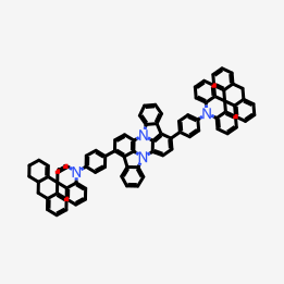 C1=C2C(CCC1)Cc1ccccc1C21c2ccccc2N(c2ccc(-c3ccc4c5c3c3ccccc3n5c3ccc(-c5ccc(N6c7ccccc7C7(c8ccccc8Cc8ccccc87)c7ccccc76)cc5)c5c6ccccc6n4c53)cc2)c2ccccc21